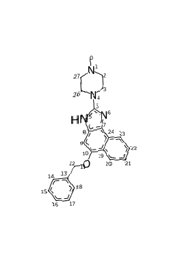 CN1CCN(c2nc3c(cc(OCc4ccccc4)c4ccccc43)[nH]2)CC1